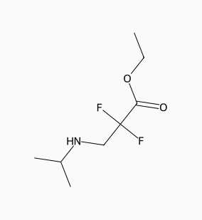 CCOC(=O)C(F)(F)CNC(C)C